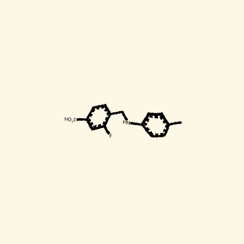 Cc1ccc(NCc2ccc(C(=O)O)cc2F)cc1